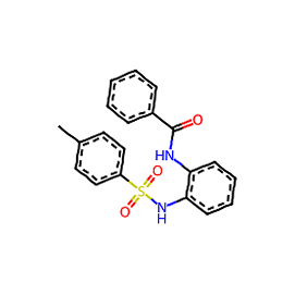 Cc1ccc(S(=O)(=O)Nc2ccccc2NC(=O)c2ccccc2)cc1